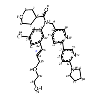 O=C(C1CCOCC1)N(Cc1ccc(-c2ccc(N3CCCC3)nc2)nc1)c1cc(Cl)cc(/C=C/COCCO)c1